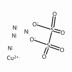 O=S(=O)([O-])S(=O)(=O)[O-].[Cu+2].[N].[N].[N].[N]